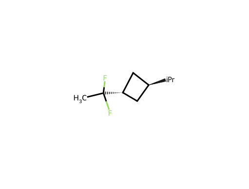 CC(C)[C@H]1C[C@H](C(C)(F)F)C1